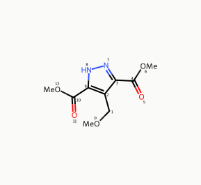 COCc1c(C(=O)OC)n[nH]c1C(=O)OC